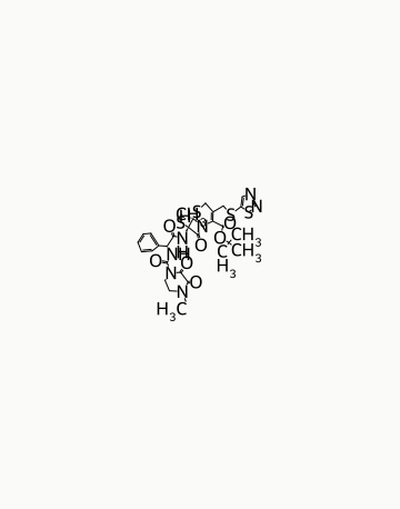 CCN1CCN(C(=O)NC(C(=O)N[C@]2(SC)C(=O)N3C(C(=O)OC(C)(C)C)=C(CSc4cnns4)CS[C@@H]32)c2ccccc2)C(=O)C1=O